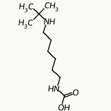 CC(C)(C)NCCCCCCNC(=O)O